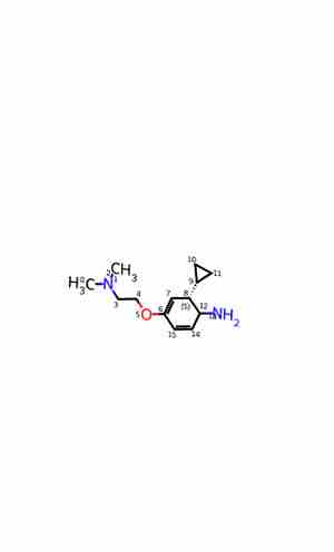 CN(C)CCOC1=C[C@H](C2CC2)C(N)C=C1